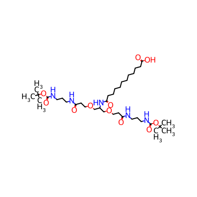 CC(C)(C)OC(=O)NCCCNC(=O)CCOCC(COCCC(=O)NCCCNC(=O)OC(C)(C)C)NC(=O)CCCCCCCCCCC(=O)O